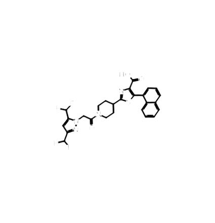 O=C(O)c1nc(C2CCN(C(=O)Cn3nc(C(F)F)cc3C(F)F)CC2)sc1-c1cccc2ccccc12